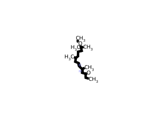 CCOC(C)(C)CCCC(C)C/C=C/C(C)=C/C(=O)CC